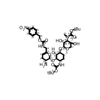 C[C@@H]1C[C@H](NC(=O)OC(C)(C)C)[C@@H](O[C@H]2OC(CNC(=O)OCc3ccc([N+](=O)[O-])cc3)=CC[C@H]2N)[C@H](O)[C@H]1O[C@H]1OC[C@](C)(O)[C@H](N(C)C(=O)OC(C)(C)C)[C@H]1O